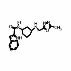 CCN(C(=O)c1cc2ccccc2[nH]1)C1CCCC(NCc2nnc(C)o2)C1